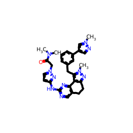 CN(C)C(=O)Cn1ccc(Nc2ncc3c(n2)-c2c(nn(C)c2Cc2cccc(-c4cnn(C)c4)c2)CC3)n1